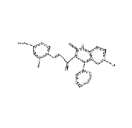 COc1ccc(C=CC(=O)c2c(-c3ccccc3)c3cc(Cl)ccc3[nH]c2=O)c(F)c1